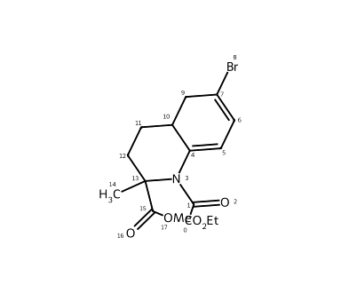 CCOC(=O)C(=O)N1C2=CC=C(Br)CC2CCC1(C)C(=O)OC